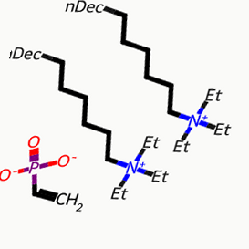 C=CP(=O)([O-])[O-].CCCCCCCCCCCCCCCC[N+](CC)(CC)CC.CCCCCCCCCCCCCCCC[N+](CC)(CC)CC